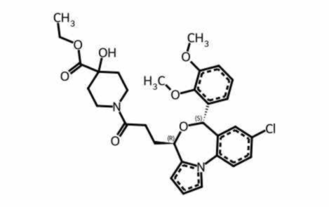 CCOC(=O)C1(O)CCN(C(=O)CC[C@H]2O[C@H](c3cccc(OC)c3OC)c3cc(Cl)ccc3-n3cccc32)CC1